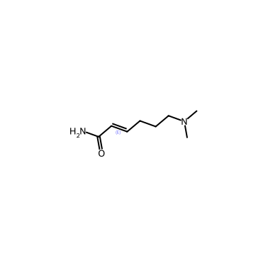 CN(C)CCC/C=C/C(N)=O